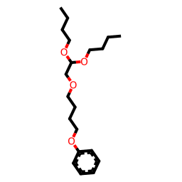 CCCCOC(COCCCCOc1ccccc1)OCCCC